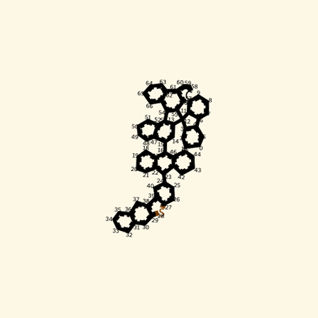 c1ccc2c(c1)-c1ccccc1C21c2cc(-c3c4ccccc4c(-c4ccc5sc6cc7ccccc7cc6c5c4)c4ccccc34)c3ccccc3c2-c2c1c1ccccc1c1ccccc21